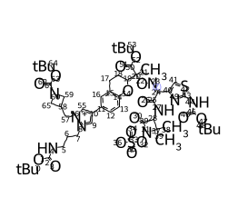 CC(C)(C)OC(=O)NCCCn1cc(-c2ccc3c(c2)CCC(C(C)(O/N=C(\C(=O)NC2C(=O)N(OS(=O)(=O)[O-])C2(C)C)c2csc(NC(=O)OC(C)(C)C)n2)C(=O)OC(C)(C)C)O3)c[n+]1CC1CN(C(=O)OC(C)(C)C)C1